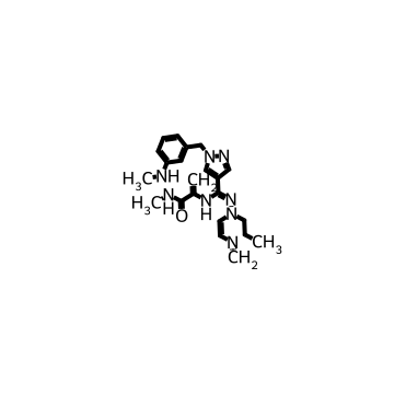 C=N/C=C\N(CCC)/N=C(\NC(=C)C(=O)NC)c1cnn(Cc2cccc(NC)c2)c1